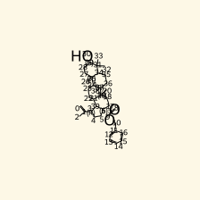 C=C(C)[C@@H]1CC[C@]2(C(=O)OCc3ccccc3)CC[C@]3(C)C(CCC4[C@@]5(C)CC[C@H](O)C(C)(C)C5CC[C@]43C)C12